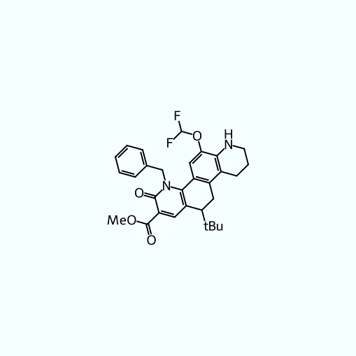 COC(=O)c1cc2c(n(Cc3ccccc3)c1=O)-c1cc(OC(F)F)c3c(c1CC2C(C)(C)C)CCCN3